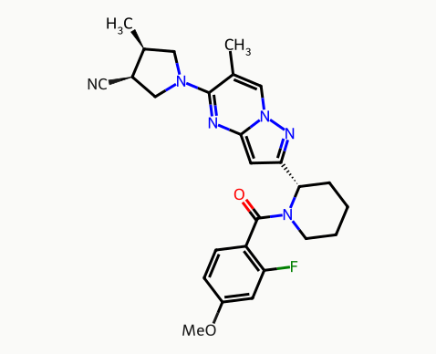 COc1ccc(C(=O)N2CCCC[C@H]2c2cc3nc(N4C[C@@H](C#N)[C@@H](C)C4)c(C)cn3n2)c(F)c1